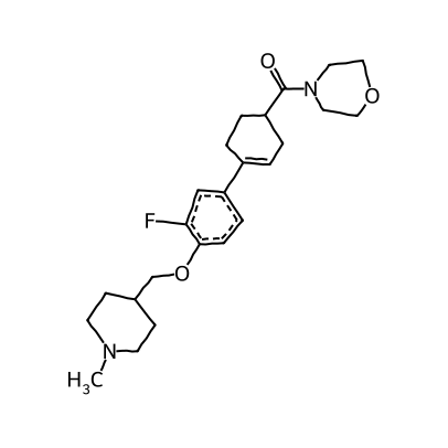 CN1CCC(COc2ccc(C3=CCC(C(=O)N4CCOCC4)CC3)cc2F)CC1